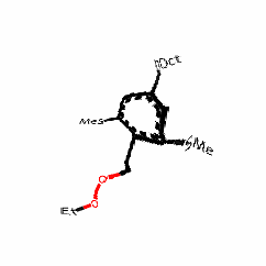 CCCCCCCCc1cc(SC)c(COOCC)c(SC)c1